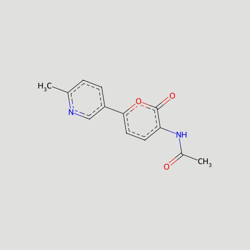 CC(=O)Nc1ccc(-c2ccc(C)nc2)oc1=O